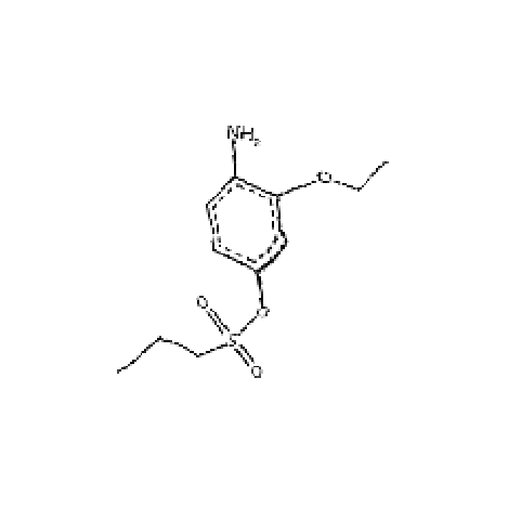 CCCS(=O)(=O)Oc1ccc(N)c(OCC)c1